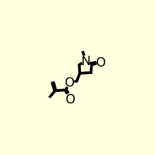 C=C(C)C(=O)OCC1CC(=O)N(C)C1